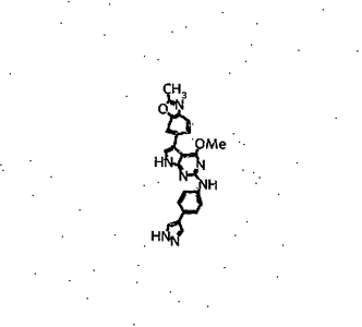 COc1nc(Nc2ccc(-c3cn[nH]c3)cc2)nc2[nH]cc(-c3ccc4nc(C)oc4c3)c12